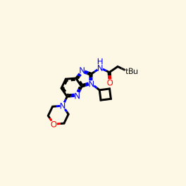 CC(C)(C)CC(=O)Nc1nc2ccc(N3CCOCC3)nc2n1C1CCC1